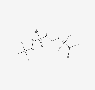 O=P(O)(OCCC(F)(F)C(F)F)OCC(F)(F)F